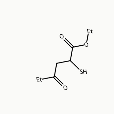 CCOC(=O)C(S)CC(=O)CC